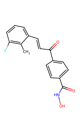 Cc1c(F)cccc1C=CC(=O)c1ccc(C(=O)NO)cc1